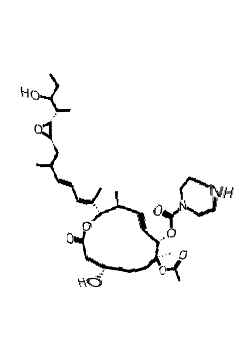 CCC(O)C(C)[C@H]1O[C@@H]1CC(C)/C=C/C=C(\C)[C@H]1OC(=O)C[C@@H](O)CC[C@](C)(OC(C)=O)[C@@H](OC(=O)N2CCNCC2)/C=C/[C@@H]1C